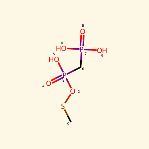 CSOP(=O)(O)CP(=O)(O)O